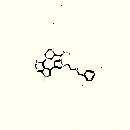 NCC1CN(c2ncnc3[nH]cc(-c4cnn(CCOCc5ccccc5)c4)c23)CCO1